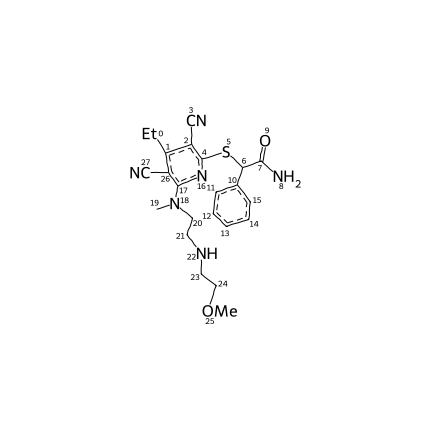 CCc1c(C#N)c(SC(C(N)=O)c2ccccc2)nc(N(C)CCNCCOC)c1C#N